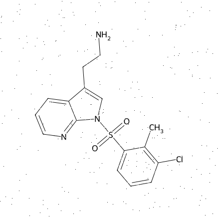 Cc1c(Cl)cccc1S(=O)(=O)n1cc(CCN)c2cccnc21